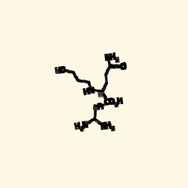 CCCC(N)N.NC(=O)CC[C@H](NCCCO)C(=O)O